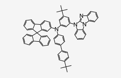 CC(C)(C)c1ccc(-c2ccc(N(c3cc(-n4c5ccccc5n5c6ccccc6nc45)cc(C(C)(C)C)c3)c3ccc4c(c3)C3(c5ccccc5-c5ccccc53)c3ccccc3-4)cc2)cc1